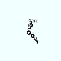 O=C(O)c1ccc(COc2cccc(-c3ccc(OCC4CC4)nc3)c2)nc1